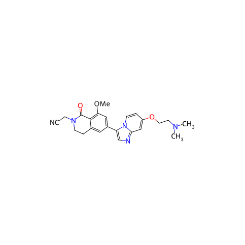 COc1cc(-c2cnc3cc(OCCN(C)C)ccn23)cc2c1C(=O)N(CC#N)CC2